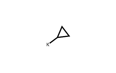 [K][CH]1CC1